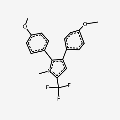 COc1ccc(-c2cc(C(F)(F)F)n(C)c2-c2ccc(OC)cc2)cc1